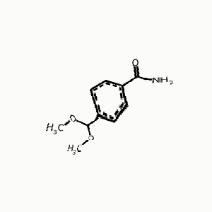 COC(OC)c1ccc(C(N)=O)cc1